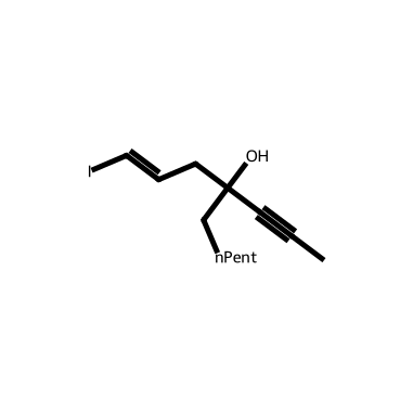 CC#CC(O)(C/C=C/I)CCCCCC